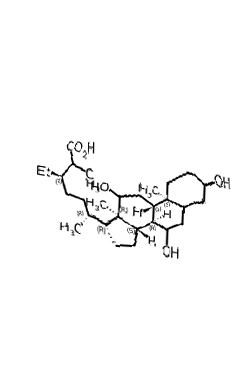 CC[C@H](CC[C@@H](C)[C@H]1CC[C@H]2[C@@H]3C(O)CC4CC(O)CC[C@]4(C)[C@H]3CC(O)[C@]12C)C(C)C(=O)O